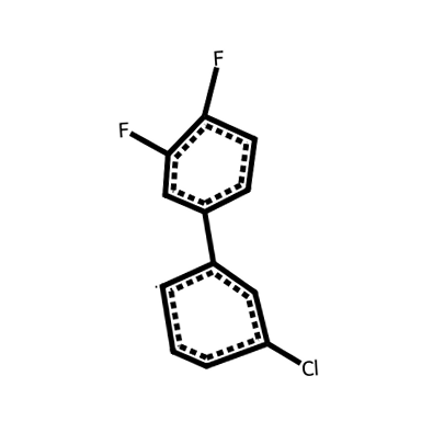 Fc1ccc(-c2[c]ccc(Cl)c2)cc1F